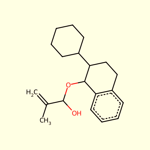 C=C(C)C(O)OC1c2ccccc2CCC1C1CCCCC1